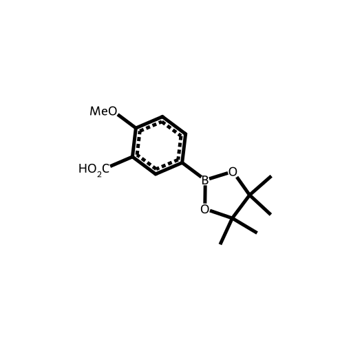 COc1ccc(B2OC(C)(C)C(C)(C)O2)cc1C(=O)O